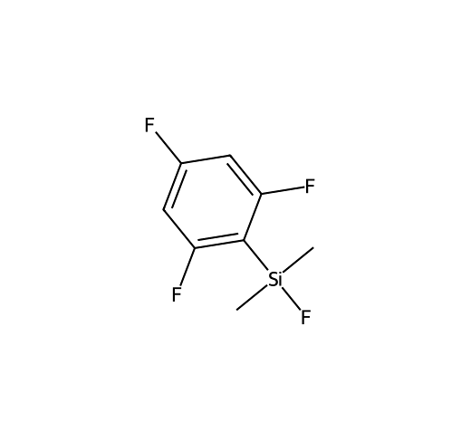 C[Si](C)(F)c1c(F)cc(F)cc1F